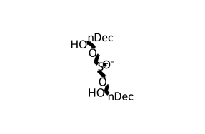 CCCCCCCCCCC(O)COCC[S+]([O-])CCOCC(O)CCCCCCCCCC